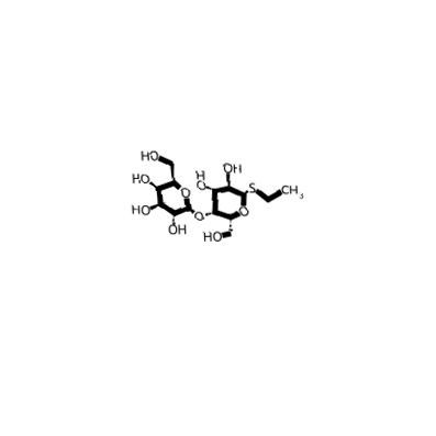 CCS[C@@H]1O[C@H](CO)[C@H](O[C@@H]2O[C@H](CO)[C@H](O)[C@H](O)[C@H]2O)[C@H](O)[C@H]1O